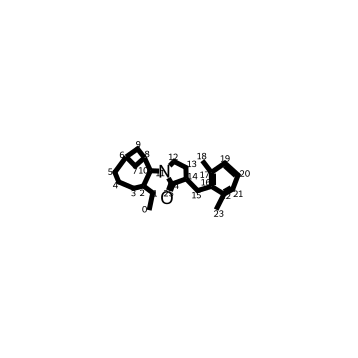 CCC1CCCC2CC(C2)C1N1CCC(Cc2c(C)cccc2C)C1=O